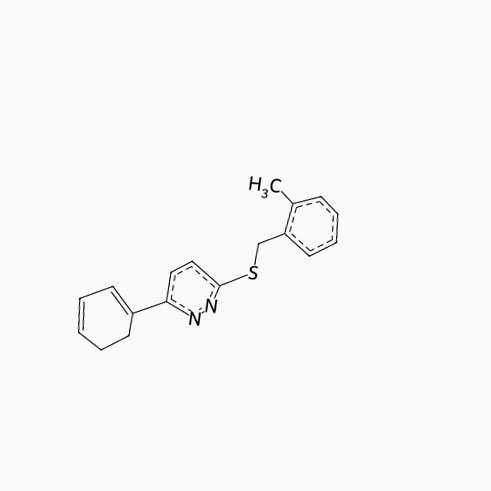 Cc1ccccc1CSc1ccc(C2=CC=CCC2)nn1